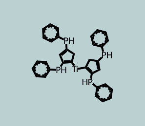 C1=C(Pc2ccccc2)C[C]([Ti][C]2=C(Pc3ccccc3)C=C(Pc3ccccc3)C2)=C1Pc1ccccc1